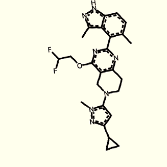 Cc1ccc2[nH]nc(C)c2c1-c1nc2c(c(OCC(F)F)n1)CN(c1cc(C3CC3)nn1C)CC2